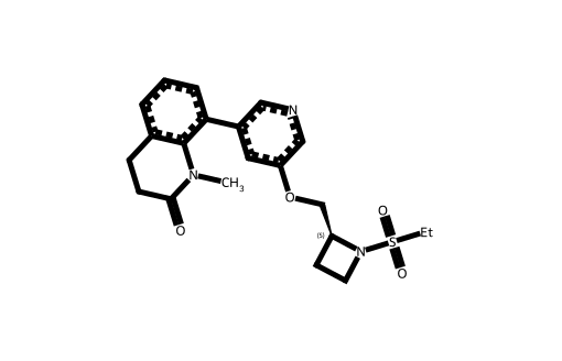 CCS(=O)(=O)N1CC[C@H]1COc1cncc(-c2cccc3c2N(C)C(=O)CC3)c1